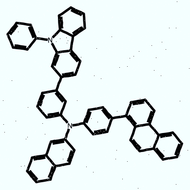 c1ccc(-n2c3ccccc3c3ccc(-c4cccc(N(c5ccc(-c6cccc7c6ccc6ccccc67)cc5)c5ccc6ccccc6c5)c4)cc32)cc1